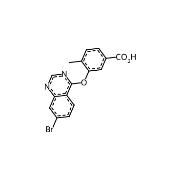 Cc1ccc(C(=O)O)cc1Oc1ncnc2cc(Br)ccc12